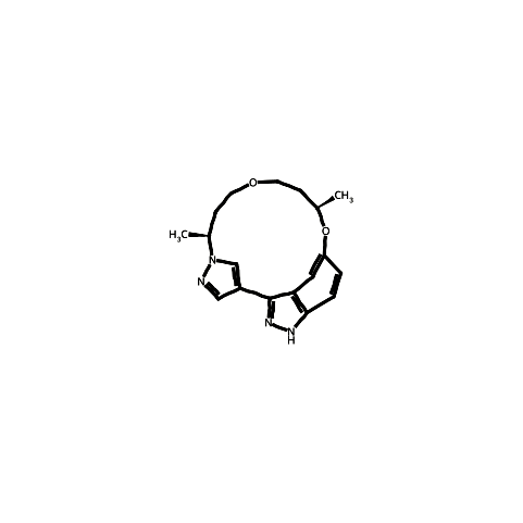 C[C@@H]1CCOCC[C@H](C)n2cc(cn2)-c2n[nH]c3ccc(cc23)O1